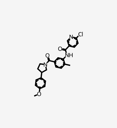 COc1ccc(C2CCN(C(=O)c3ccc(C)c(NC(=O)c4ccc(Cl)nc4)c3)C2)cc1